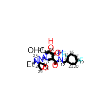 CCN(C)C1(N(C)n2cc(C(=O)NCC3=C(F)CC=C(F)C=C3)c(=O)c(O)c2C=O)CCOC1